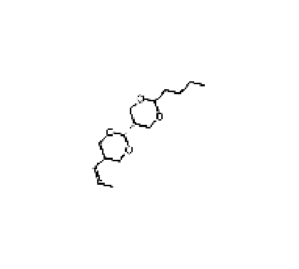 C/C=C\[C@H]1CO[C@H](C2COC(CCCC)OC2)OC1